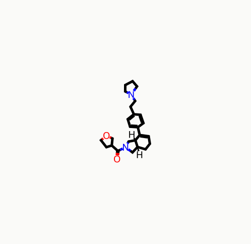 O=C(C1CCOC1)N1C[C@H]2CCC=C(c3ccc(CCN4CCCC4)cc3)[C@H]2C1